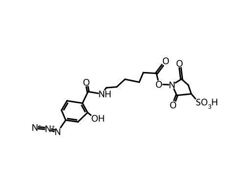 [N-]=[N+]=Nc1ccc(C(=O)NCCCCCC(=O)ON2C(=O)CC(S(=O)(=O)O)C2=O)c(O)c1